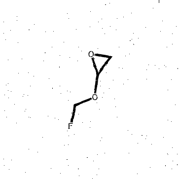 FCOC1CO1